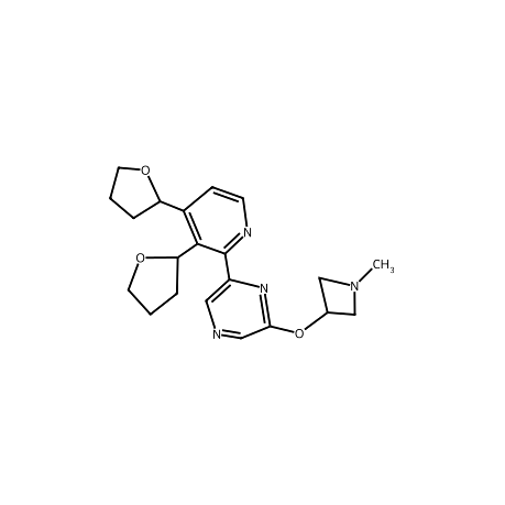 CN1CC(Oc2cncc(-c3nccc(C4CCCO4)c3C3CCCO3)n2)C1